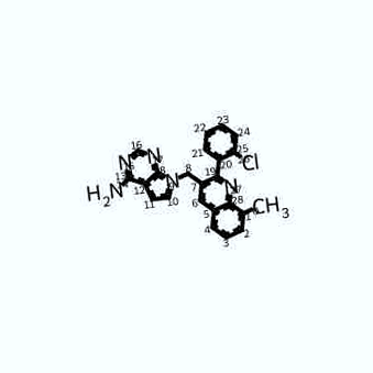 Cc1cccc2cc(Cn3ccc4c(N)ncnc43)c(-c3ccccc3Cl)nc12